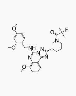 COc1ccc(CNc2nc3c(OC)cccc3c3nc([C@@H]4CCCN(C(=O)C(C)(C)F)C4)nn23)c(OC)c1